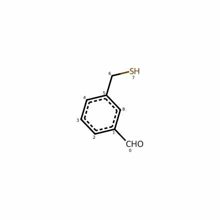 O=Cc1cccc(CS)c1